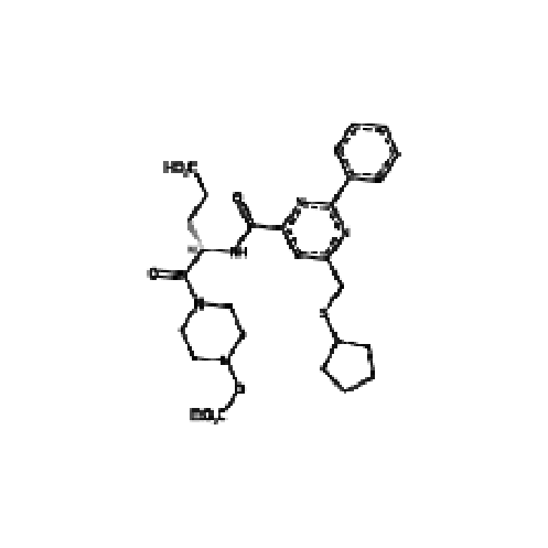 CCOC(=O)ON1CCN(C(=O)[C@H](CCC(=O)O)NC(=O)c2cc(CSC3CCCC3)nc(-c3ccccc3)n2)CC1